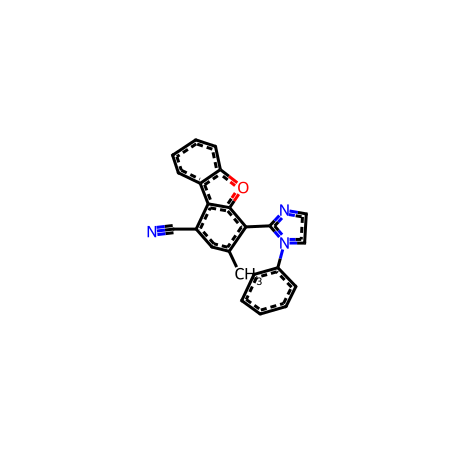 Cc1cc(C#N)c2c(oc3ccccc32)c1-c1nccn1-c1ccccc1